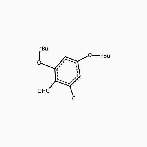 CCCCOc1cc(Cl)c(C=O)c(OCCCC)c1